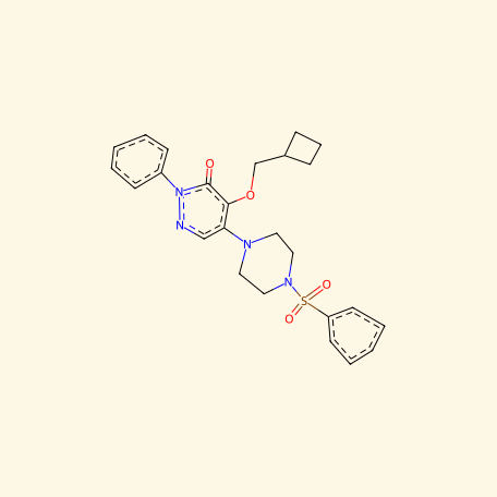 O=c1c(OCC2CCC2)c(N2CCN(S(=O)(=O)c3ccccc3)CC2)cnn1-c1ccccc1